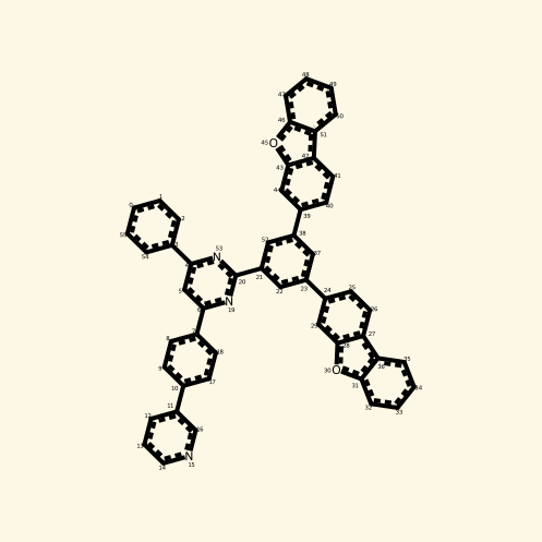 c1ccc(-c2cc(-c3ccc(-c4cccnc4)cc3)nc(-c3cc(-c4ccc5c(c4)oc4ccccc45)cc(-c4ccc5c(c4)oc4ccccc45)c3)n2)cc1